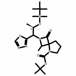 CC1N(C(c2nnco2)[C@@H](C)O[Si](C)(C)C(C)(C)C)C(=O)C12CCCN2C(=O)OC(C)(C)C